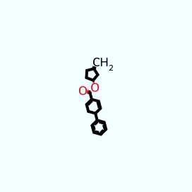 C=C1CC[C@H](OC(=O)C2=CCC(c3ccccc3)C=C2)C1